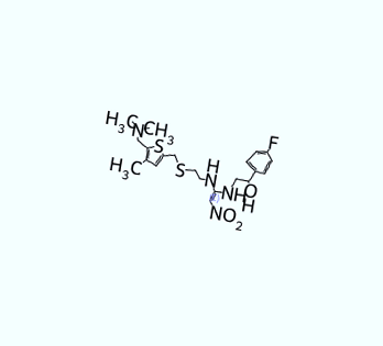 Cc1cc(CSCCN/C(=C/[N+](=O)[O-])NCC(O)c2ccc(F)cc2)sc1CN(C)C